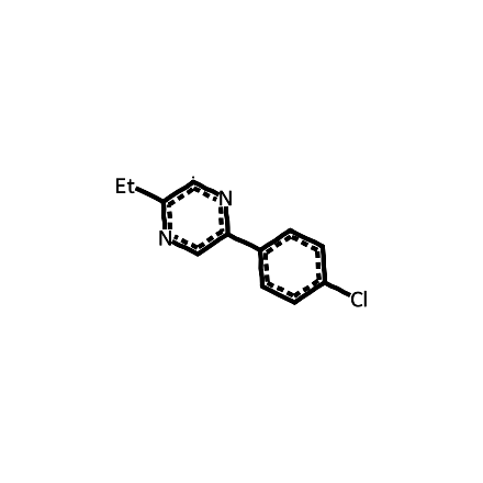 CCc1[c]nc(-c2ccc(Cl)cc2)cn1